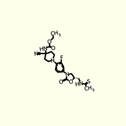 CCOC(=O)NC1(C#N)CCN(c2ccc(N3C[C@H](CNC(C)=S)OC3=O)cc2F)CC1